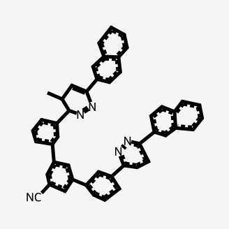 CC1C=C(c2ccc3ccccc3c2)N=NC1c1cccc(-c2cc(C#N)cc(-c3cccc(-c4ccc(-c5ccc6ccccc6c5)nn4)c3)c2)c1